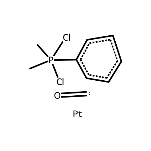 CP(C)(Cl)(Cl)c1ccccc1.[C]=O.[Pt]